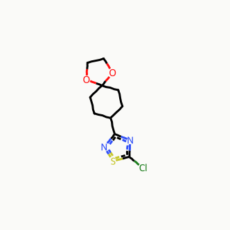 Clc1nc(C2CCC3(CC2)OCCO3)ns1